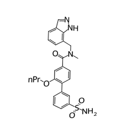 CCCOc1cc(C(=O)N(C)Cc2cccc3cn[nH]c23)ccc1-c1cccc(S(N)(=O)=O)c1